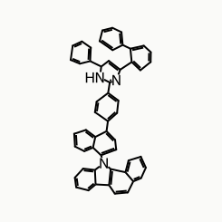 C1=C(c2ccccc2-c2ccccc2)N=C(c2ccc(-c3ccc(-n4c5ccccc5c5ccc6ccccc6c54)c4ccccc34)cc2)NC1c1ccccc1